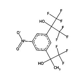 CC(O)(c1cc([N+](=O)[O-])cc(C(O)(C(F)(F)F)C(F)(F)F)c1)C(F)(F)F